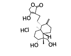 C=C1CC[C@@H]2[C@](C)(CO)[C@H](O)CC[C@@]2(C)[C@@H]1CCC1=C(O)COC1=O.Cl